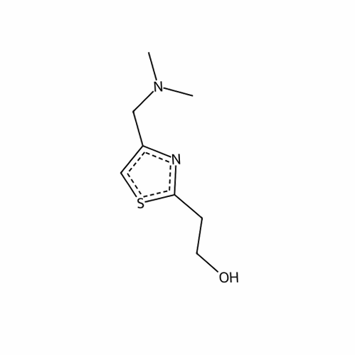 CN(C)Cc1csc(CCO)n1